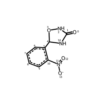 O=C1NOC(c2ccccc2[N+](=O)[O-])N1